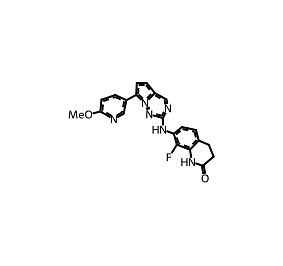 COc1ccc(-c2ccc3cnc(Nc4ccc5c(c4F)NC(=O)CC5)nn23)cn1